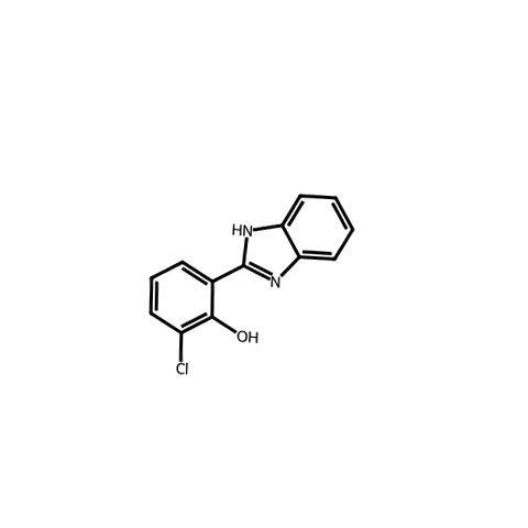 Oc1c(Cl)cccc1-c1nc2ccccc2[nH]1